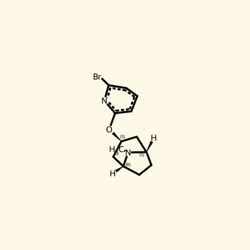 CN1[C@@H]2CC[C@H]1C[C@H](Oc1cccc(Br)n1)C2